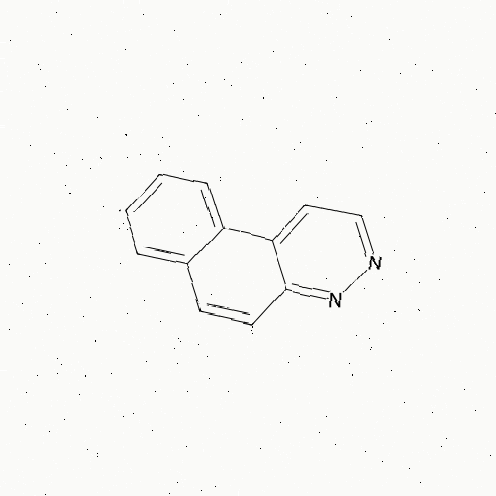 [c]1ccc2c(c1)ccc1nnccc12